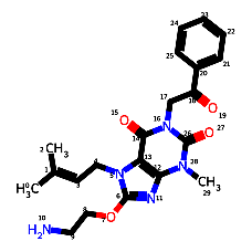 CC(C)=CCn1c(OCCN)nc2c1c(=O)n(CC(=O)c1ccccc1)c(=O)n2C